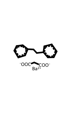 O=C([O-])CC(=O)[O-].[Ba+2].c1ccc(CCc2ccccc2)cc1